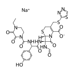 CCN1CCN(C(=O)NC(C(=O)N[C@]2(NC=O)C(=O)N3C(C(=O)[O-])=C(CSc4nncs4)CS[C@H]32)c2ccc(O)cc2)C(=O)C1=O.[Na+]